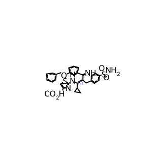 N=C(/C(Cc1ccc(S(N)(=O)=O)cc1)=C(\Nc1nc(C(=O)O)cs1)C1CC1)c1cccc(OCc2ccccc2)c1